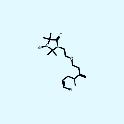 C=C(CCOCCN1C(=O)C(C)(C)N(Br)C1(C)C)[C@@H](C)C/C=C\CC